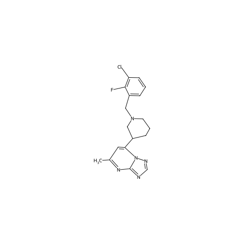 Cc1cc(C2CCCN(Cc3cccc(Cl)c3F)C2)n2ncnc2n1